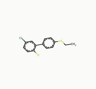 CCSc1ccc(-c2cc(Cl)ccc2[S])cc1